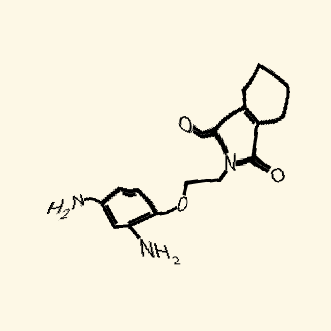 Nc1ccc(OCCN2C(=O)C3=C(CCCC3)C2=O)c(N)c1